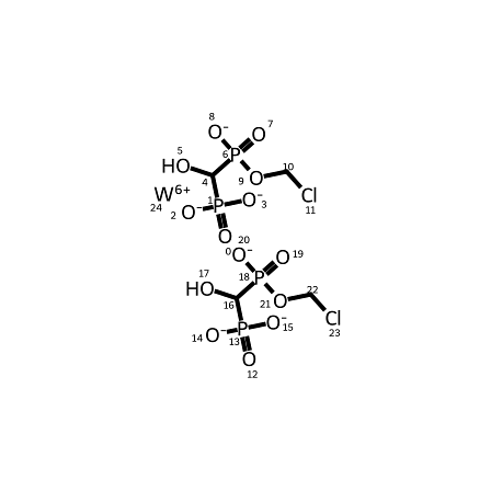 O=P([O-])([O-])C(O)P(=O)([O-])OCCl.O=P([O-])([O-])C(O)P(=O)([O-])OCCl.[W+6]